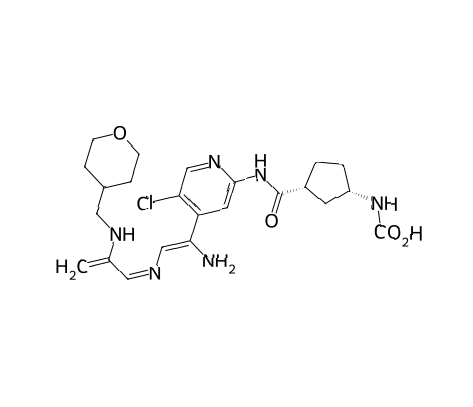 C=C(/C=N\C=C(/N)c1cc(NC(=O)[C@@H]2CC[C@H](NC(=O)O)C2)ncc1Cl)NCC1CCOCC1